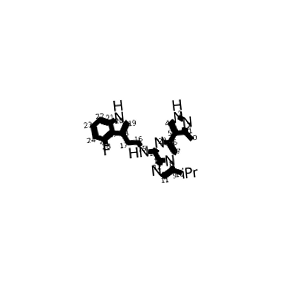 Cc1n[nH]cc1-c1cn2c(C(C)C)cnc2c(NCCc2c[nH]c3cccc(F)c23)n1